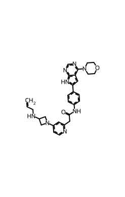 C=CCNC1CN(c2ccnc(CC(=O)Nc3ccc(-c4cc5c(N6CCOCC6)ncnc5[nH]4)cc3)c2)C1